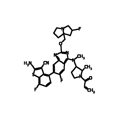 C=CC(=O)N1CCC(N(C)c2nc(OCC34CCCN3CC(F)C4)nc3cc(-c4ccc(F)c5sc(N)c(C#N)c45)c(F)cc23)C1C